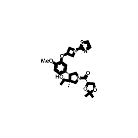 COc1ccc([C@@H]2CN(C(=O)[C@@H]3COC(C)(C)O3)C[C@@]2(C)C(C)O)cc1OC1CN(c2nccs2)C1